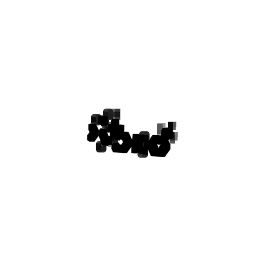 CC(C)[C@@H](C(=O)N1CCC(C(C)(C)S(=O)(=O)c2cccc(C(F)(F)F)c2)CC1)N(C(=O)O)C(C)(C)C